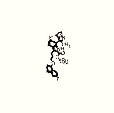 Cc1nn2c(c1-c1c(F)ccc3c(CCCOc4cccc5cc(F)ccc45)c(C(=O)OC(C)(C)C)[nH]c13)CCC2